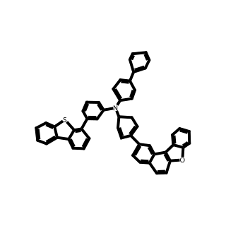 C1=CC(N(c2ccc(-c3ccccc3)cc2)c2cccc(-c3cccc4c3sc3ccccc34)c2)CC=C1c1ccc2ccc3oc4ccccc4c3c2c1